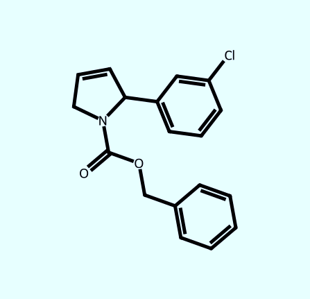 O=C(OCc1ccccc1)N1CC=CC1c1cccc(Cl)c1